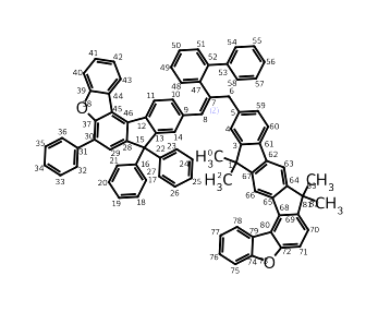 CC1(C)c2cc(C/C(=C/c3ccc4c(c3)C(c3ccccc3)(c3ccccc3)c3cc(-c5ccccc5)c5oc6ccccc6c5c3-4)c3ccccc3-c3ccccc3)ccc2-c2cc3c(cc21)-c1c(ccc2oc4ccccc4c12)C3(C)C